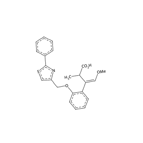 COC=C(c1ccccc1OCc1csc(-c2ccccc2)n1)C(C)C(=O)O